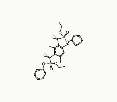 CCOP(=O)(Oc1ccccc1)C(=O)c1c(C)cc(C)c(C(=O)P(=O)(OCC)Oc2ccccc2)c1C